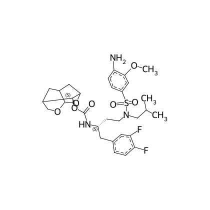 COc1cc(S(=O)(=O)N(CC[C@H](Cc2ccc(F)c(F)c2)NC(=O)O[C@H]2C3COC4OC2CC4C3)CC(C)C)ccc1N